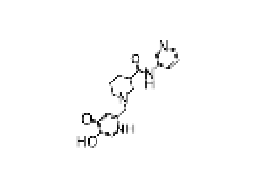 O=C(Nc1cccnc1)C1CCCN(Cc2cc(=O)c(O)c[nH]2)C1